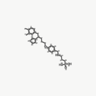 Cc1ccc(CC(CCCOc2ccc(CNCCCP(=O)(O)O)cc2)c2ccsc2)cc1C